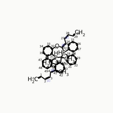 C=C/C=C\C=C(/C)C(N)CC1(C)[PH](c2ccccc2)(c2ccccc2)/C(=C/C=C\C=C)Oc2ccccc2[PH]1(c1ccccc1)c1ccccc1